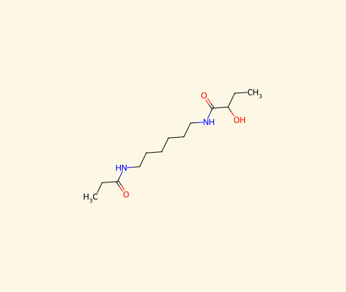 CCC(=O)NCCCCCCNC(=O)C(O)CC